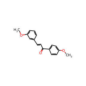 COc1ccc(C(=O)C=Cc2cccc(OC)c2)cc1